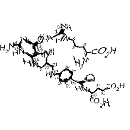 N=C(N)NCCCC(N)C(=O)O.Nc1nc(=O)c2c([nH]1)NCC(CNc1ccc(C(=O)N[C@@H](CCC(=O)O)C(=O)O)cc1)N2